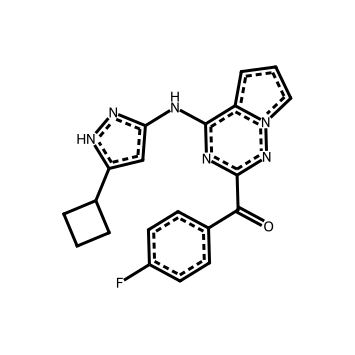 O=C(c1ccc(F)cc1)c1nc(Nc2cc(C3CCC3)[nH]n2)c2cccn2n1